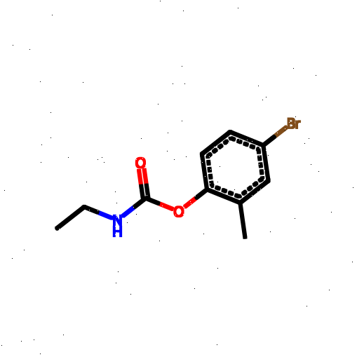 CCNC(=O)Oc1ccc(Br)cc1C